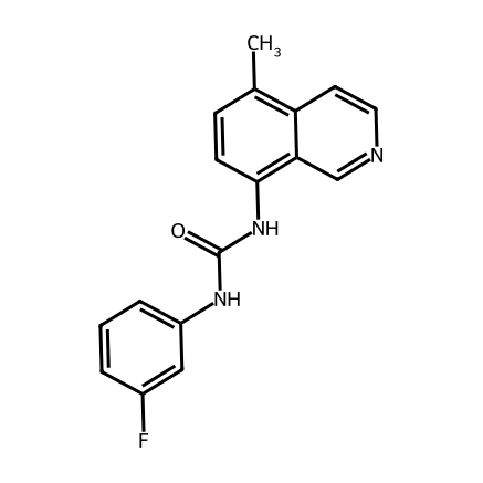 Cc1ccc(NC(=O)Nc2cccc(F)c2)c2cnccc12